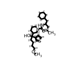 CNCC(CC1CCCCC1)NC(=O)N1CCCC(C(O)(CCCCOC)c2ccsc2)C1